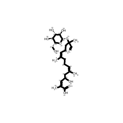 C=CC(C)(CCC=C(C)CCC=C(C)CC(O)C=C(C)C(=O)O)O[C@@H]1O[C@H](CO)[C@@H](O)[C@H](O)[C@H]1O